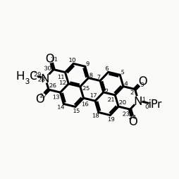 CC(C)N1C(=O)c2ccc3c4ccc5c6c(ccc(c7ccc(c2c37)C1=O)c64)C(=O)N(C)C5=O